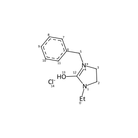 CCN1CC[N+](Cc2ccccc2)=C1O.[Cl-]